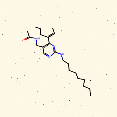 C/C=C(\CCC)c1nc(NCCCCCCCCC)ncc1CNC(C)=O